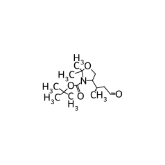 C[C@H](CC=O)C1COC(C)(C)N1C(=O)OC(C)(C)C